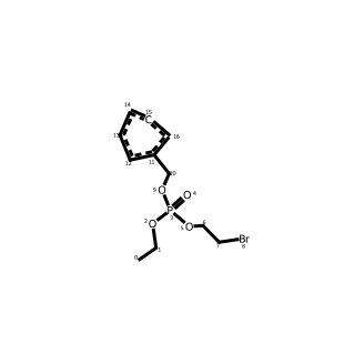 CCOP(=O)(OCCBr)OCc1ccccc1